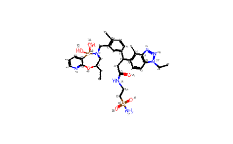 CCC1CN(Cc2cc(C(CC(=O)NCCS(N)(=O)=O)c3ccc4c(nnn4CC)c3C)ccc2C)S(O)(O)c2cccnc2O1